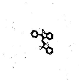 Cn1c(-c2ccccc2)c(C=C2Sc3ccccc3C2=O)c2ccccc21